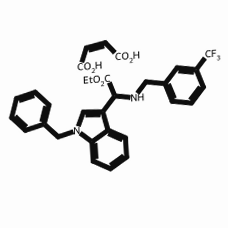 CCOC(=O)C(NCc1cccc(C(F)(F)F)c1)c1cn(Cc2ccccc2)c2ccccc12.O=C(O)/C=C\C(=O)O